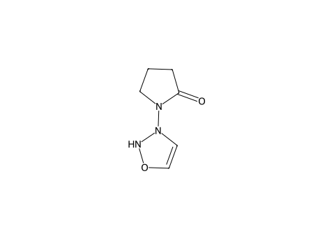 O=C1CCCN1N1C=CON1